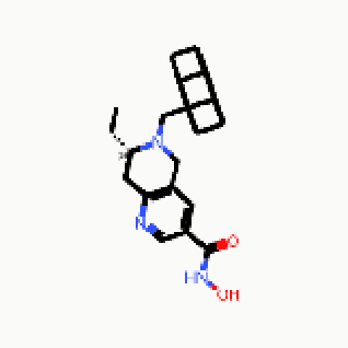 CC[C@H]1Cc2ncc(C(=O)NO)cc2CN1CC12C3C4C5C3C1C5C42